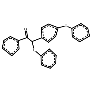 O=C(c1ccccc1)C(Oc1ccccc1)c1ccc(Oc2ccccc2)cc1